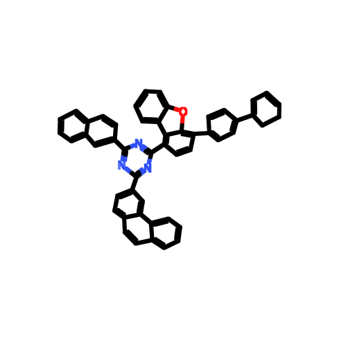 C1=CCCC(c2ccc(-c3ccc(-c4nc(-c5ccc6ccccc6c5)nc(-c5ccc6ccc7ccccc7c6c5)n4)c4c3oc3ccccc34)cc2)=C1